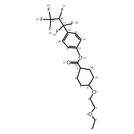 CCOCCOC1CCC(C(=O)Oc2ccc(C(F)(F)C(F)C(F)(F)F)cc2)CC1